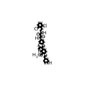 COc1c(OCC2CCNCC2)ccc2c(Oc3ccc(NC(=O)C(=O)NCCc4c(Cl)cccc4Cl)cc3F)ccnc12